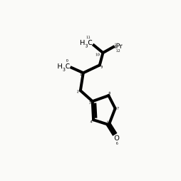 CC(CC1=CC(=O)CC1)CC(C)C(C)C